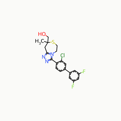 CC1(CO)Cc2nnc(-c3ccc(-c4cc(F)cc(F)c4)cc3Cl)n2CCS1